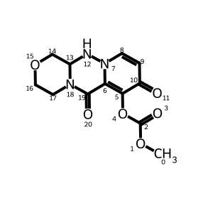 COC(=O)Oc1c2n(ccc1=O)NC1COCCN1C2=O